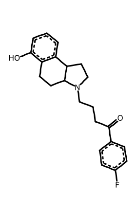 O=C(CCCN1CCC2c3cccc(O)c3CCC21)c1ccc(F)cc1